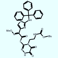 CON=C(C(=O)Sc1n[nH]c(=O)c(=O)n1CCNC(=O)OC(C)(C)C)c1csc(NC(c2ccccc2)(c2ccccc2)c2ccccc2)n1